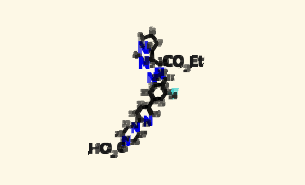 CCOC(=O)C(c1ncn2c1CCC2)n1cc2c(F)cc(-c3ccc(N4CCN(C(=O)O)CC4)nc3)cc2n1